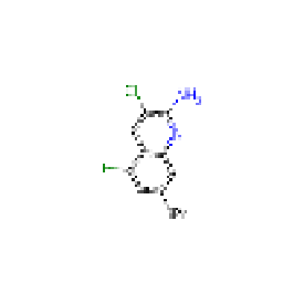 CC(C)c1cc(F)c2cc(Cl)c(N)nc2c1